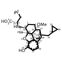 CO[C@@]12CC[C@H](N[C@@H](CC(C)C)C(=O)O)[C@@H]3Oc4c(O)ccc5c4[C@@]31CCN(CC1CC1)C2C5